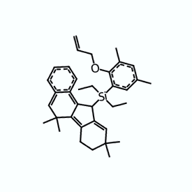 C=CCOc1c(C)cc(C)cc1[Si](CC)(CC)C1C2=CC(C)(C)CCC2=C2C1=c1ccccc1=CC2(C)C